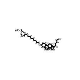 CCCCCCCCOC[C@@H](CN(C)C)OCCCCCCCCOC1CC[C@@]2(C)C(=CC[C@H]3[C@@H]4CC[C@H]([C@H](C)CCCC(C)C)[C@@]4(C)CC[C@@H]32)C1